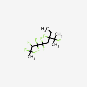 CCC(F)(CC(F)(F)C(F)(F)C(F)C(C)(F)F)C(C)(C)F